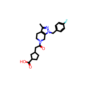 Cc1nn(Cc2ccc(F)cc2)c2c1CCN(C(=O)CC1CCC(C(=O)O)C1)C2